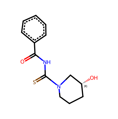 O=C(NC(=S)N1CCC[C@@H](O)C1)c1ccccc1